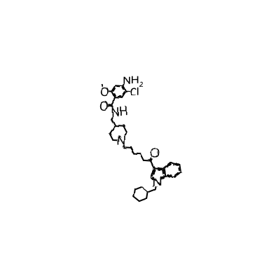 COc1cc(N)c(Cl)cc1C(=O)NCC1CCN(CCCCCC(=O)c2cn(CC3CCCCC3)c3ccccc23)CC1